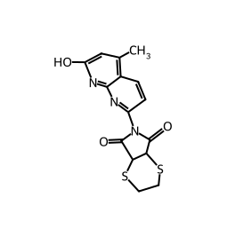 Cc1cc(O)nc2nc(N3C(=O)C4SCCSC4C3=O)ccc12